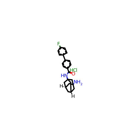 Cl.NC12C[C@H]3C[C@@H](C1)CC(NC(=O)c1ccc(-c4ccc(F)cc4)cc1)(C3)C2